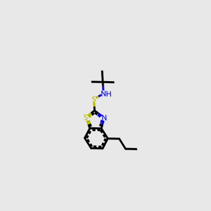 CCCc1cccc2sc(SNC(C)(C)C)nc12